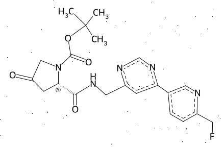 CC(C)(C)OC(=O)N1CC(=O)C[C@H]1C(=O)NCc1cc(-c2ccc(CF)nc2)ncn1